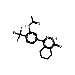 CC(=O)Nc1cc(-c2n[nH]c(=O)c3c2CCCC3)ccc1C(F)(F)F